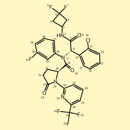 O=C(NC1CC(F)(F)C1)[C@H](c1ccccc1Cl)N(C(=O)[C@@H]1CCC(=O)N1c1cccc(C(F)(F)F)n1)c1cccc(F)c1